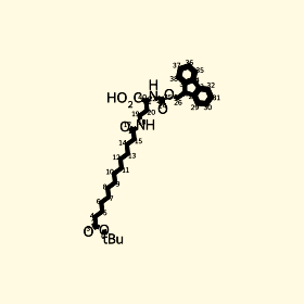 CC(C)(C)OC(=O)CCCCCCCCCCCCC(=O)NCCC(NC(=O)OCC1c2ccccc2-c2ccccc21)C(=O)O